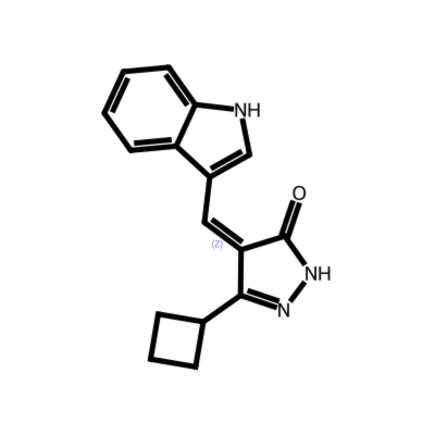 O=C1NN=C(C2CCC2)/C1=C/c1c[nH]c2ccccc12